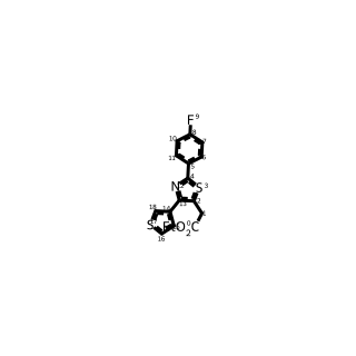 CCOC(=O)Cc1sc(-c2ccc(F)cc2)nc1-c1ccsc1